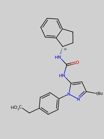 CC(C)(C)c1cc(NC(=O)N[C@H]2CCc3ccccc32)n(-c2ccc(CC(=O)O)cc2)n1